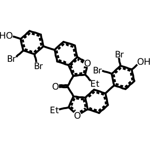 CCc1oc2ccc(-c3ccc(O)c(Br)c3Br)cc2c1C(=O)c1c(CC)oc2ccc(-c3ccc(O)c(Br)c3Br)cc12